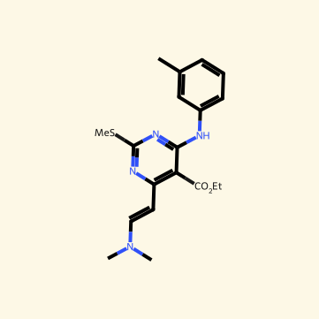 CCOC(=O)c1c(/C=C/N(C)C)nc(SC)nc1Nc1cccc(C)c1